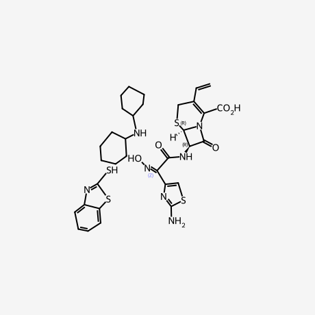 C1CCC(NC2CCCCC2)CC1.C=CC1=C(C(=O)O)N2C(=O)[C@@H](NC(=O)/C(=N\O)c3csc(N)n3)[C@H]2SC1.Sc1nc2ccccc2s1